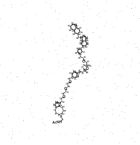 CC(=O)NCC1C2CCc3nnn(CCOCCOCCOCc4cnc(SC[Si](C)(C)O[Si](C)(C)COCCn5ccc(-c6cnc7nnn(Cc8ccc9ncccc9c8)c7n6)c5)nc4)c3CCC21